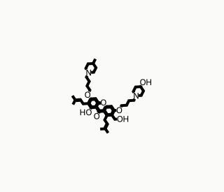 CC(C)=CCc1c(OCCCCN2CCC(C)CC2)cc2oc3cc(OCCCCN4CCC(O)CC4)c(CO)c(CC=C(C)C)c3c(=O)c2c1O